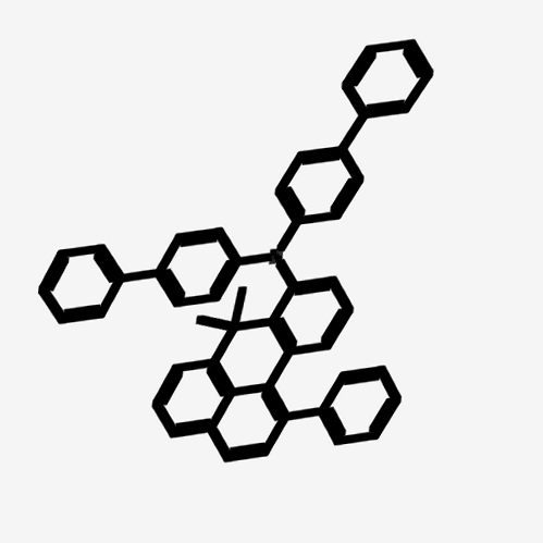 CC1(C)c2c(cccc2N(c2ccc(-c3ccccc3)cc2)c2ccc(-c3ccccc3)cc2)-c2c(-c3ccccc3)ccc3cccc1c23